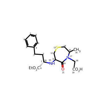 CCOC(=O)[C@H](CCc1ccccc1)NC1CSCC(C)N(CC(=O)O)C1=O